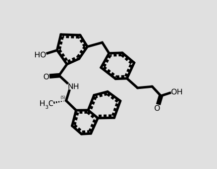 C[C@H](NC(=O)c1cc(Cc2ccc(CCC(=O)O)cc2)ccc1O)c1cccc2ccccc12